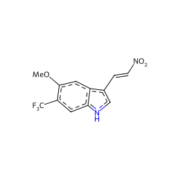 COc1cc2c(C=C[N+](=O)[O-])c[nH]c2cc1C(F)(F)F